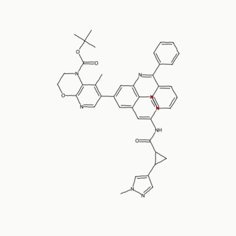 Cc1c(-c2cc(N=C(c3ccccc3)c3ccccc3)c3nnc(NC(=O)C4CC4c4cnn(C)c4)cc3c2)cnc2c1N(C(=O)OC(C)(C)C)CCO2